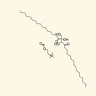 CCCCCCCCCCCCCCCC(=O)C(O)C(O)(CO)C(=O)CCCCCCCCCCCCCCC.C[N+](C)(C)CCOP=O